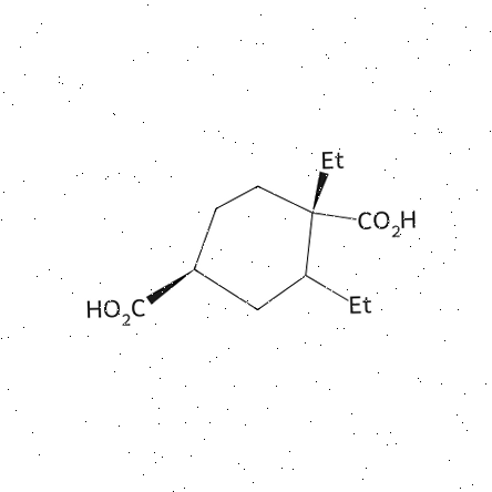 CCC1C[C@@H](C(=O)O)CC[C@]1(CC)C(=O)O